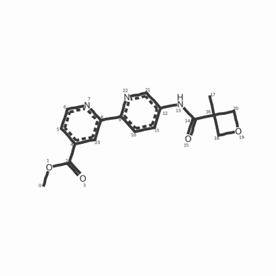 COC(=O)c1ccnc(-c2ccc(NC(=O)C3(C)COC3)cn2)c1